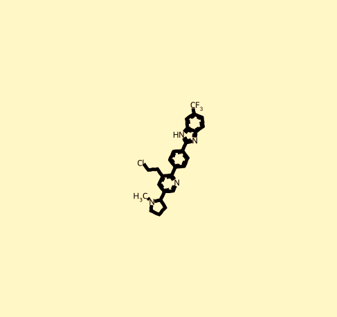 CN1CCCC1c1cnc(-c2ccc(-c3nc4ccc(C(F)(F)F)cc4[nH]3)cc2)c(CCCl)c1